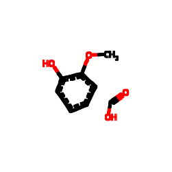 COc1ccccc1O.O=CO